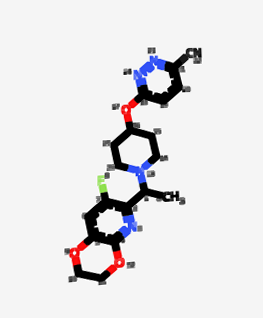 CC(c1nc2c(cc1F)OCCO2)N1CCC(Oc2ccc(C#N)nn2)CC1